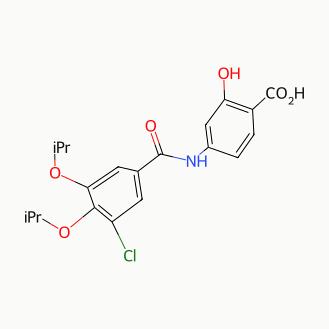 CC(C)Oc1cc(C(=O)Nc2ccc(C(=O)O)c(O)c2)cc(Cl)c1OC(C)C